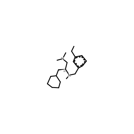 CCc1cccc(CN(C)[C@@H](CC2CCCCC2)CN(C)C)c1